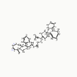 C=C1/C=C\C=C/OC2(C)C(c3ccccc3)=C(NCN(C)CCC(C3=CCC(C)(C4=CC=CC(C)C4C4=CC=CCC4)CC3)N(C)C)CCC12